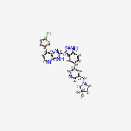 Fc1ccc(-c2ccnc3[nH]c(-c4n[nH]c5ccc(-c6cncc(CN7CCC(F)(F)C7)c6)cc45)nc23)s1